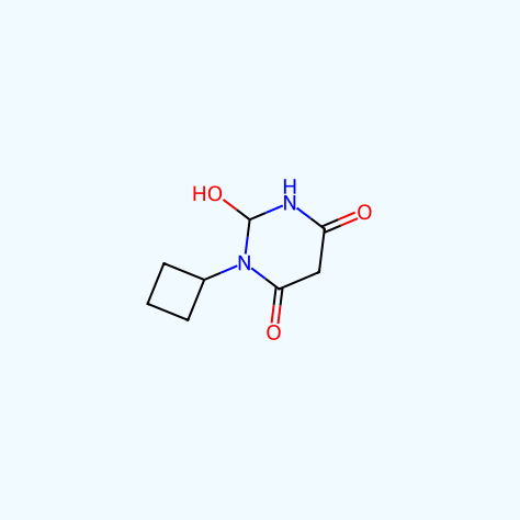 O=C1CC(=O)N(C2CCC2)C(O)N1